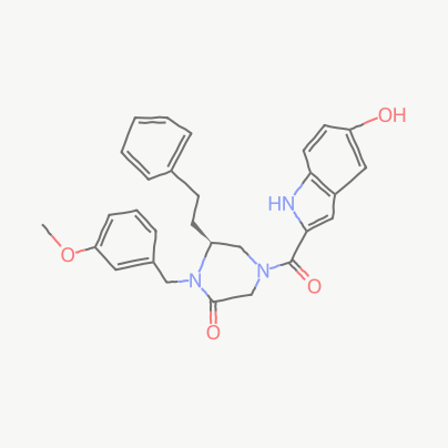 COc1cccc(CN2C(=O)CN(C(=O)c3cc4cc(O)ccc4[nH]3)C[C@@H]2CCc2ccccc2)c1